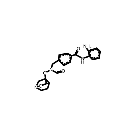 Nc1ccccc1NC(=O)c1ccc(CN(C=O)OC2CN3CCC2CC3)cc1